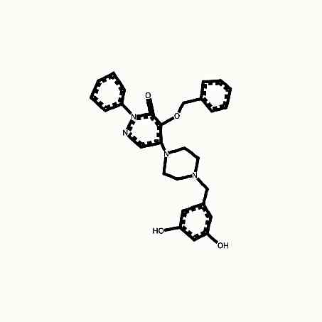 O=c1c(OCc2ccccc2)c(N2CCN(Cc3cc(O)cc(O)c3)CC2)cnn1-c1ccccc1